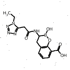 CCn1nnnc1CC(=O)NC1Cc2cccc(C(=O)O)c2OB1O